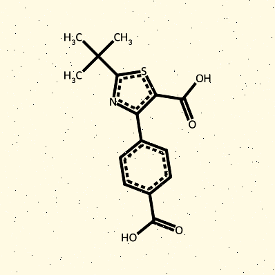 CC(C)(C)c1nc(-c2ccc(C(=O)O)cc2)c(C(=O)O)s1